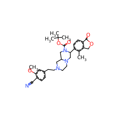 COc1cc(CCN2CCN3CC(c4ccc5c(c4C)COC5=O)N(C(=O)OC(C)(C)C)CC3C2)ccc1C#N